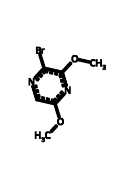 COc1cnc(Br)c(OC)n1